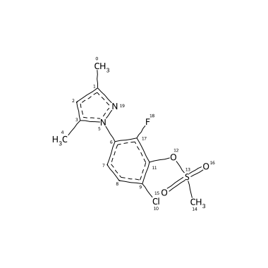 Cc1cc(C)n(-c2ccc(Cl)c(OS(C)(=O)=O)c2F)n1